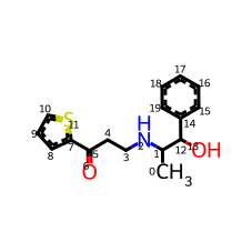 CC(NCCC(=O)c1cccs1)C(O)c1ccccc1